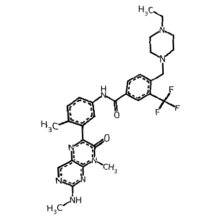 CCN1CCN(Cc2ccc(C(=O)Nc3ccc(C)c(-c4nc5cnc(NC)nc5n(C)c4=O)c3)cc2C(F)(F)F)CC1